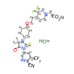 CC1(C)C(=O)N(c2cnc(C#N)c(C(F)(F)F)c2)C(=S)N1C1CCC(OCCC2CCN(CC(=O)O)CC2(F)F)CC1.Cl